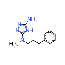 CN(CCCc1ccccc1)c1nnc(N)[nH]1